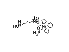 O=P(Cl)(NCCCCCCNO)OCC1CN(C(c2ccccc2)(c2ccccc2)c2ccccc2)CC(P)O1